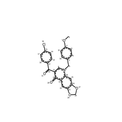 COc1ccc(Cn2cc(C(=O)c3ccc(Cl)cc3)c(=O)c3cc4c(cc32)OCO4)cc1